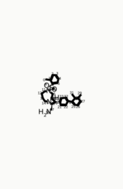 Cc1ccccc1S(=O)(=O)N1CCCCN2[C@H](CN)[C@@H](c3ccc(-c4cccc(C)c4C)cc3)[C@@H]2C1